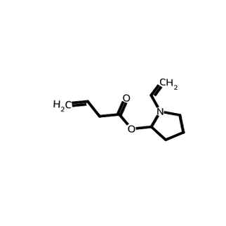 C=CCC(=O)OC1CCCN1C=C